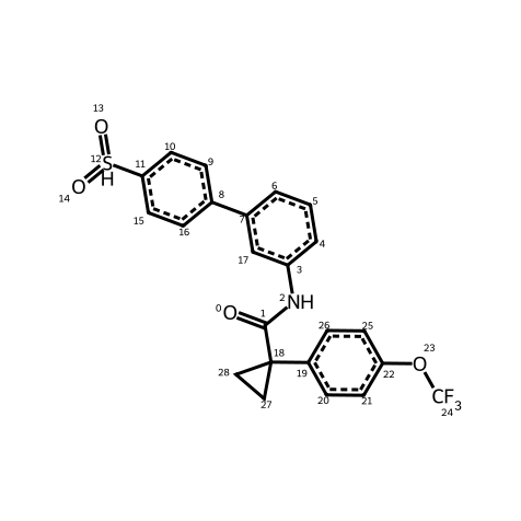 O=C(Nc1cccc(-c2ccc([SH](=O)=O)cc2)c1)C1(c2ccc(OC(F)(F)F)cc2)CC1